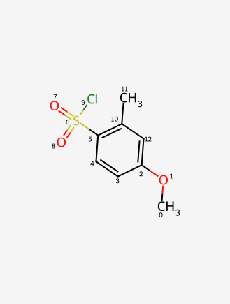 COc1ccc(S(=O)(=O)Cl)c(C)c1